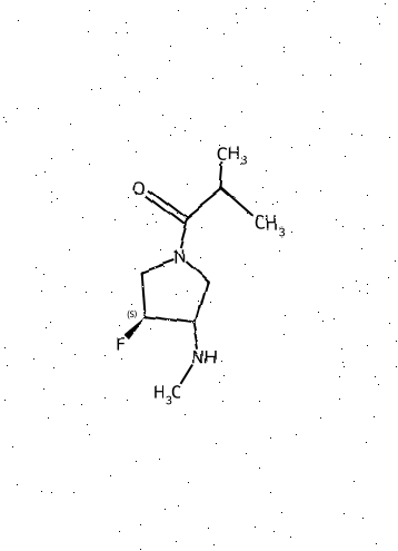 CNC1CN(C(=O)C(C)C)C[C@@H]1F